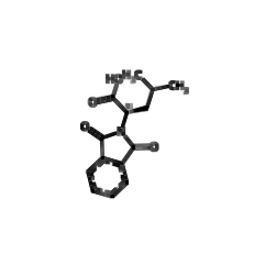 CC(C)C[C@H](C(=O)O)N1C(=O)c2ccccc2C1=O